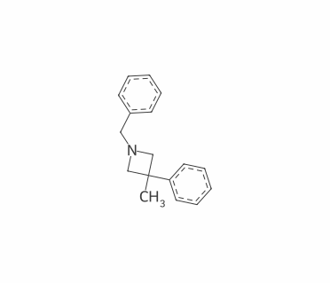 CC1(c2ccccc2)CN(Cc2ccccc2)C1